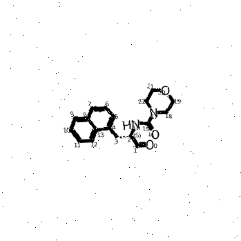 O=[C][C@H](Cc1cccc2ccccc12)NC(=O)N1CCOCC1